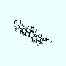 CCCC(=O)c1cc(C)c(-c2cc3cnc(C4(C(N)=O)CC4)cc3cn2)nn1